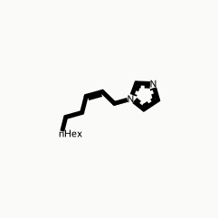 CCCCCCCC/C=C\Cn1ccnc1